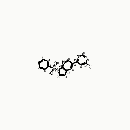 O=S(=O)(c1ccccc1)n1ccc2cc(-c3cc(Cl)ncn3)cnc21